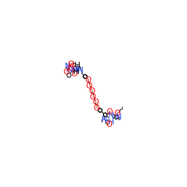 CCCCOc1nc(C)cc(C)c1CNC(=O)c1cc(-c2ccc(OCCOCCOCCOCCOCCOc3ccc(CCN4CC[C@H]5CCN(C(=O)[C@@H](NC(=O)[C@H](C)N(C)C(=O)OC(C)(C)C)C6CCCCC6)[C@H]5C4)cc3)cc2)cc(N(CC)C2CCOCC2)c1C